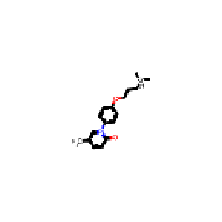 [CH3][SnH]([CH3])[CH2]CCOc1ccc(-n2cc(C(F)(F)F)ccc2=O)cc1